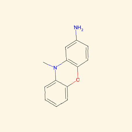 CN1c2ccccc2Oc2ccc(N)cc21